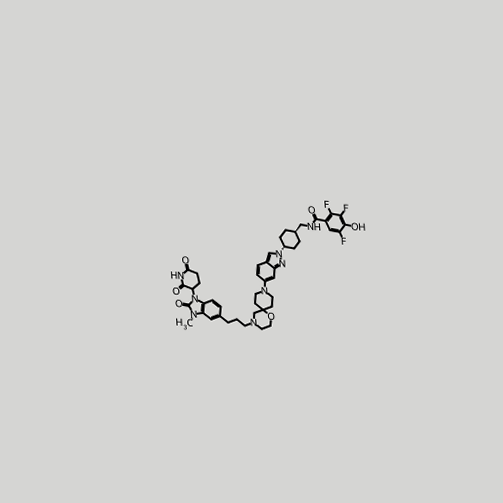 Cn1c(=O)n(C2CCC(=O)NC2=O)c2ccc(CCCN3CCOC4(CCN(c5ccc6cn([C@H]7CC[C@H](CNC(=O)c8cc(F)c(O)c(F)c8F)CC7)nc6c5)CC4)C3)cc21